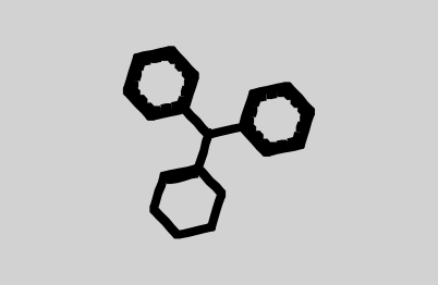 C1=C([C](c2ccccc2)c2ccccc2)CCCC1